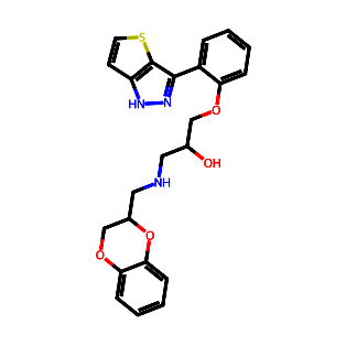 OC(CNCC1COc2ccccc2O1)COc1ccccc1-c1n[nH]c2ccsc12